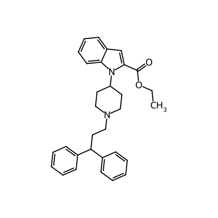 CCOC(=O)c1cc2ccccc2n1C1CCN(CCC(c2ccccc2)c2ccccc2)CC1